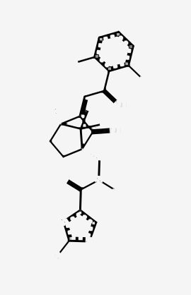 CCN(C[C@@]12CC[C@@H](/C(=C/C(=N)c3c(F)cccc3F)C1=N)C2(C)C)C(=O)c1coc(N)n1